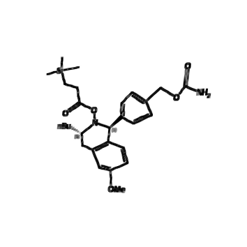 CCCC[C@H]1Cc2cc(OC)ccc2[C@H](c2ccc(COC(N)=O)cc2)N1OC(=O)CC[Si](C)(C)C